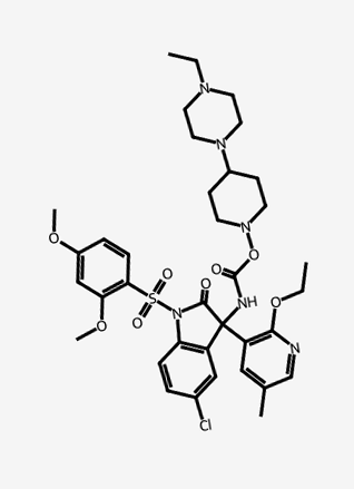 CCOc1ncc(C)cc1C1(NC(=O)ON2CCC(N3CCN(CC)CC3)CC2)C(=O)N(S(=O)(=O)c2ccc(OC)cc2OC)c2ccc(Cl)cc21